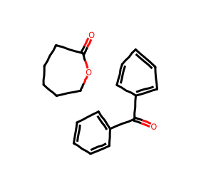 O=C(c1ccccc1)c1ccccc1.O=C1CCCCCO1